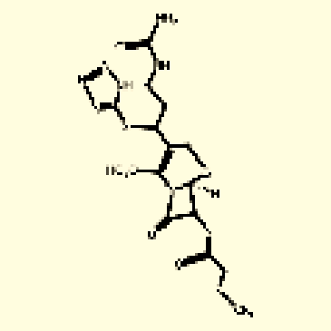 NC(=O)NCCC(Sc1nnn[nH]1)C1=C(C(=O)O)N2C(=O)C(NC(=O)CSC(F)(F)F)[C@@H]2SC1